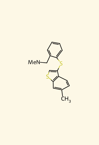 CNCc1ccccc1Sc1csc2cc(C)ccc12